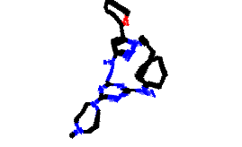 C#Cc1cccc(Nc2nc(Nc3cc(-c4ccco4)[nH]n3)nc(N3CCN(C)CC3)n2)c1